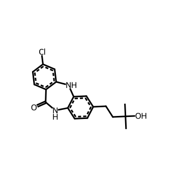 CC(C)(O)CCc1ccc2c(c1)Nc1cc(Cl)ccc1C(=O)N2